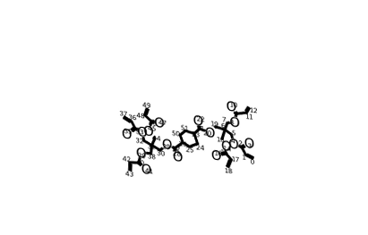 C=CC(=O)OCC(COC(=O)C=C)(COC(=O)C=C)COC(=O)C1CCC(C(=O)OCC(COC(=O)C=C)(COC(=O)C=C)COC(=O)C=C)CC1